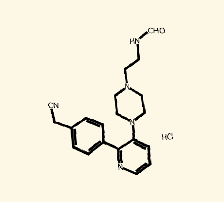 Cl.N#CCc1ccc(-c2ncccc2N2CCN(CCNC=O)CC2)cc1